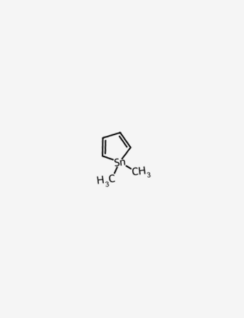 [CH3][Sn]1([CH3])[CH]=CC=[CH]1